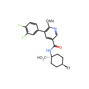 CC[C@H]1CC[C@](NC(=O)c2cnc(OC)c(-c3ccc(F)c(F)c3)c2)(C(=O)O)CC1